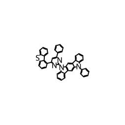 c1ccc(-c2cc(-c3cccc4sc5ccccc5c34)nc(-n3c4ccccc4c4cc5c(cc43)c3ccccc3n5-c3ccccc3)n2)cc1